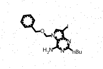 CCCCc1nc(N)c2c(n1)c(I)cn2COCc1ccccc1